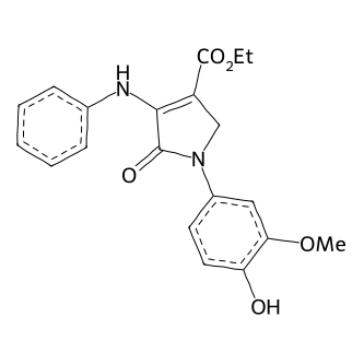 CCOC(=O)C1=C(Nc2ccccc2)C(=O)N(c2ccc(O)c(OC)c2)C1